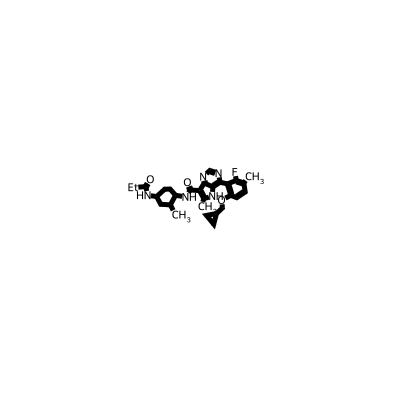 CCC(=O)NC1CCC(NC(=O)c2c(C)[nH]c3c(-c4c(OCC5CC5)ccc(C)c4F)ncnc23)C(C)C1